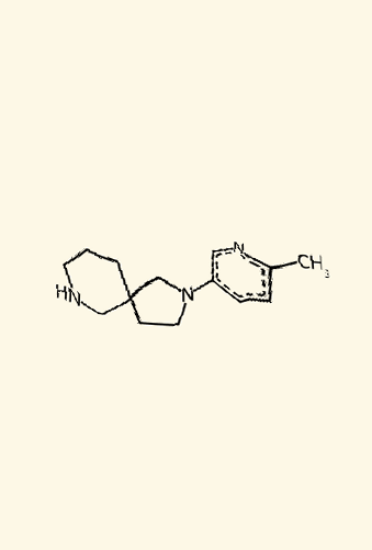 Cc1ccc(N2CCC3(CCCNC3)C2)cn1